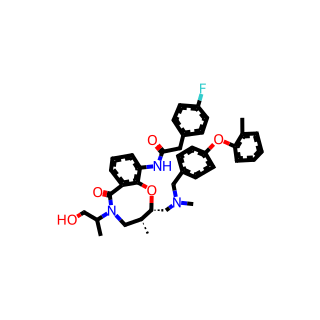 Cc1ccccc1Oc1ccc(CN(C)C[C@H]2Oc3c(NC(=O)Cc4ccc(F)cc4)cccc3C(=O)N(C(C)CO)C[C@H]2C)cc1